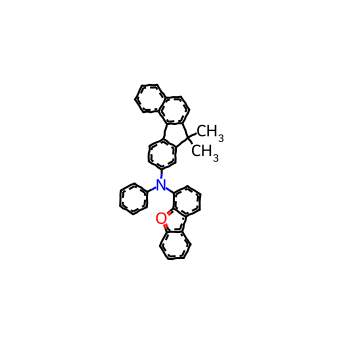 CC1(C)c2cc(N(c3ccccc3)c3cccc4c3oc3ccccc34)ccc2-c2c1ccc1ccccc21